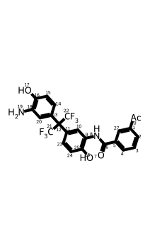 CC(=O)c1cccc(C(=O)Nc2cc(C(c3ccc(O)c(N)c3)(C(F)(F)F)C(F)(F)F)ccc2O)c1